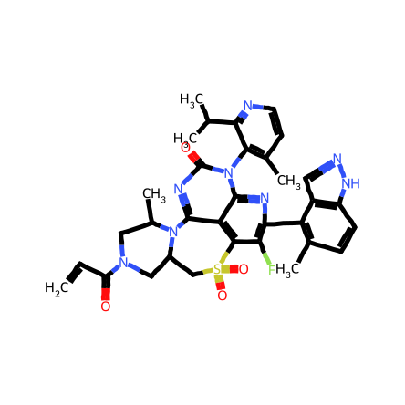 C=CC(=O)N1CC(C)N2c3nc(=O)n(-c4c(C)ccnc4C(C)C)c4nc(-c5c(C)ccc6[nH]ncc56)c(F)c(c34)S(=O)(=O)CC2C1